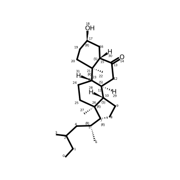 CCC(C)C[C@@H](C)[C@H]1CC[C@H]2[C@@H]3CC(=O)[C@H]4C[C@H](O)CC[C@]4(C)[C@H]3CC[C@]12C